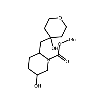 CC(C)(C)OC(=O)N1CC(O)CCC1CC1(O)CCOCC1